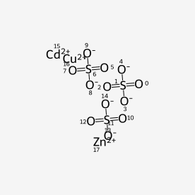 O=S(=O)([O-])[O-].O=S(=O)([O-])[O-].O=S(=O)([O-])[O-].[Cd+2].[Cu+2].[Zn+2]